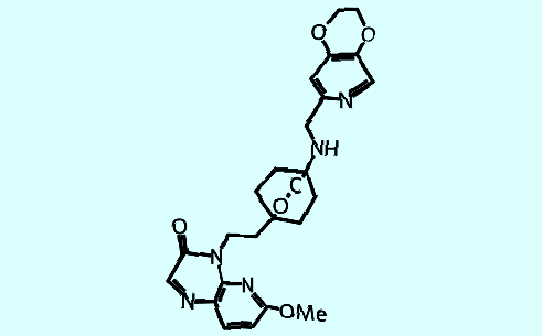 COc1ccc2ncc(=O)n(CCC34CCC(NCc5cc6c(cn5)OCCO6)(CC3)CO4)c2n1